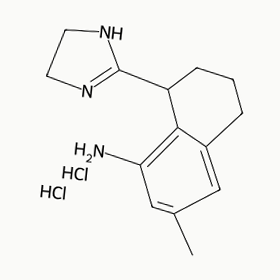 Cc1cc(N)c2c(c1)CCCC2C1=NCCN1.Cl.Cl